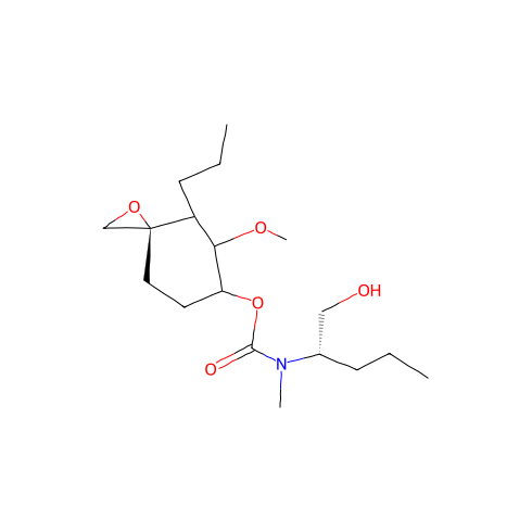 CCCC1C(OC)C(OC(=O)N(C)[C@H](CO)CCC)CC[C@]12CO2